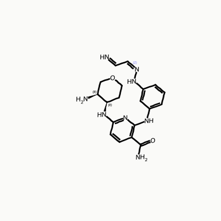 N=C/C=N\Nc1cccc(Nc2nc(N[C@@H]3CCOC[C@@H]3N)ccc2C(N)=O)c1